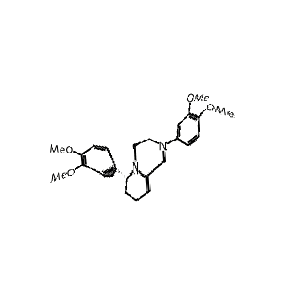 COc1ccc([C@H]2CCCC3CN(c4ccc(OC)c(OC)c4)CCN32)cc1OC